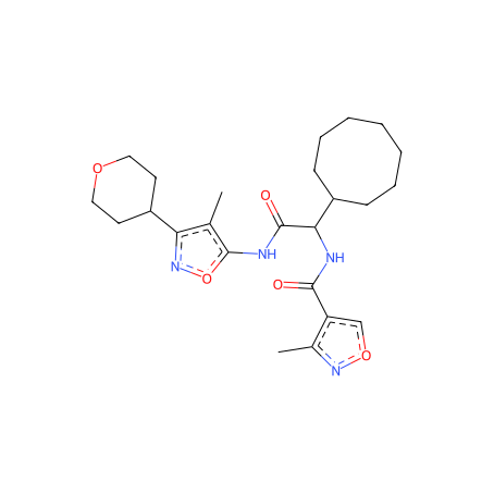 Cc1nocc1C(=O)NC(C(=O)Nc1onc(C2CCOCC2)c1C)C1CCCCCCC1